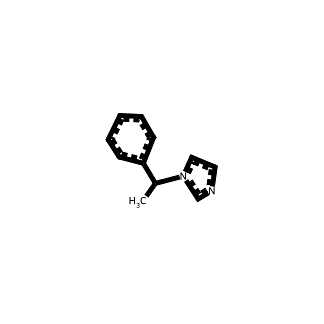 CC(c1[c]cccc1)n1ccnc1